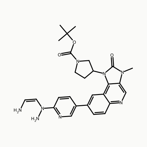 Cn1c(=O)n(C2CCN(C(=O)OC(C)(C)C)C2)c2c3cc(-c4ccc(N(N)/C=C\N)nc4)ccc3ncc21